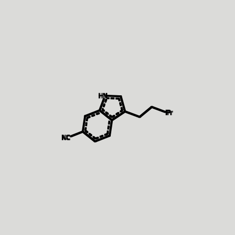 CC(C)CCc1c[nH]c2cc(C#N)ccc12